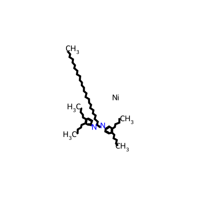 CCCCCCCCCCCCCCCCCCCCCCCCCCCC(/C=N/c1ccc(CCCCC)c(CCCCC)c1)=N\c1ccc(CCCCC)c(CCCCC)c1.[Ni]